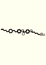 C=CCCCC1CCC(CCc2ccc(OC(=O)c3ccc(OCCCCCC(C)CC)cc3)cc2)CC1